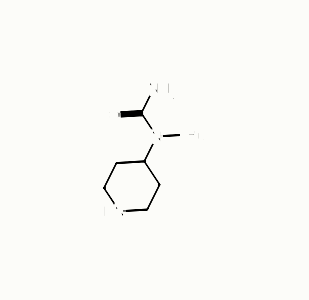 CC(C)(C)N(C(N)=O)C1CCNCC1